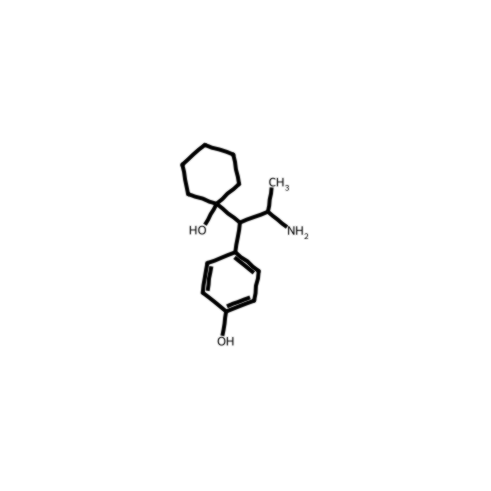 CC(N)C(c1ccc(O)cc1)C1(O)CCCCC1